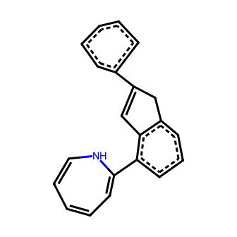 C1=CC=C(c2cccc3c2C=C(c2ccccc2)C3)NC=C1